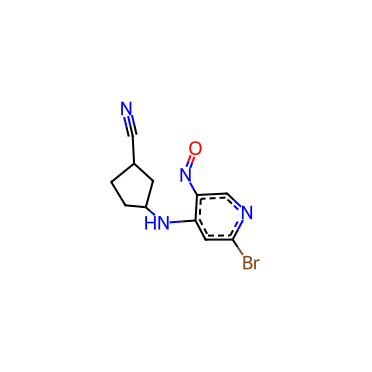 N#CC1CCC(Nc2cc(Br)ncc2N=O)C1